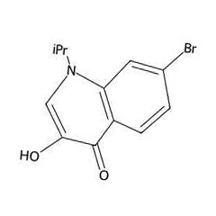 CC(C)n1cc(O)c(=O)c2ccc(Br)cc21